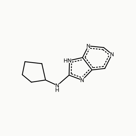 c1ncc2nc(NC3CCCC3)[nH]c2n1